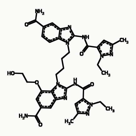 CCn1nc(C)cc1C(=O)Nc1nc2cc(C(N)=O)ccc2n1CCCCn1c(NC(=O)c2cc(C)nn2CC)nc2cc(C(N)=O)cc(OCCO)c21